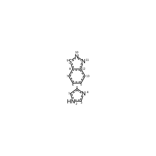 c1c[nH]cn1.c1ccc2snnc2c1